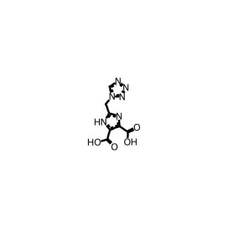 O=C(O)c1nc(Cn2cnnn2)[nH]c1C(=O)O